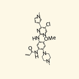 C=CC(=O)Nc1cc(Nc2ncc(Cl)c(-c3ccn(C)c3)n2)c(OC)cc1N1CCN(C)CC1